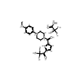 COc1ccc(N2CCN(C(=O)c3ccc(C(=O)C(F)(F)F)s3)CC2)cc1.O=C(O)C(F)(F)F